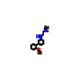 CCOc1ccccc1-c1cccc(NCCN(C)C(C)=O)c1